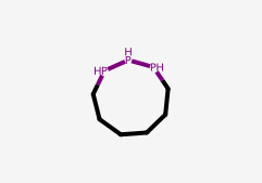 C1CCCPPPCC1